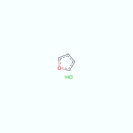 Cl.[c]1ccco1